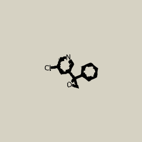 Clc1[c]ncc(C2(c3ccccc3)CO2)c1